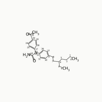 CCCCC(CC)CCc1ccc(N(C(N)=O)c2ccc(C(C)=O)cc2)cc1